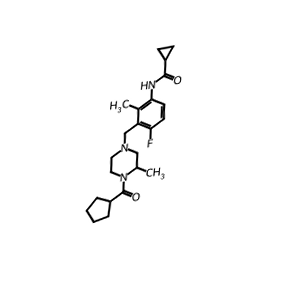 Cc1c(NC(=O)C2CC2)ccc(F)c1CN1CCN(C(=O)C2CCCC2)C(C)C1